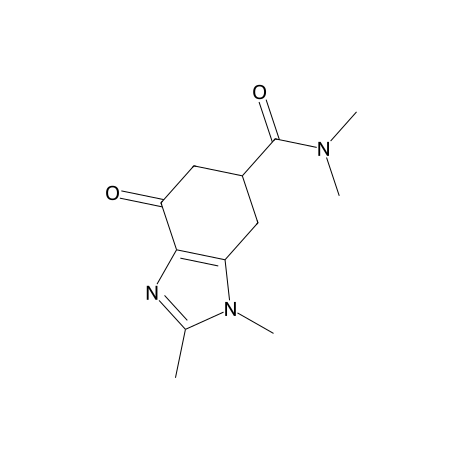 Cc1nc2c(n1C)CC(C(=O)N(C)C)CC2=O